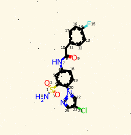 NS(=O)(=O)c1cc(NC(=O)Cc2ccc(F)cc2)ccc1-n1cc(Cl)cn1